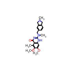 COc1cc2[nH]c(N(C)Cc3ccc4c(c3)CN(C)C4)nc(=O)c2c(C)c1OC